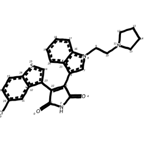 O=C1NC(=O)C(c2cn(CCN3CCCC3)c3ccccc23)=C1c1csc2ccc(Cl)cc12